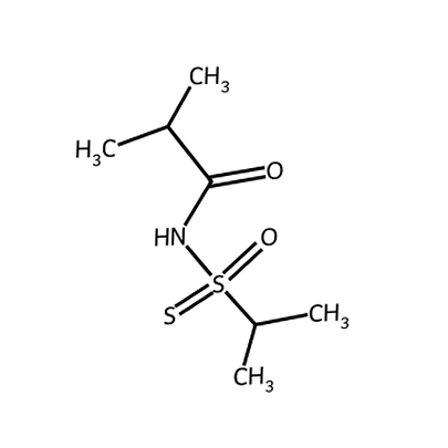 CC(C)C(=O)NS(=O)(=S)C(C)C